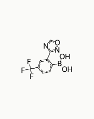 OB(O)c1ccc(C(F)(F)F)cc1-c1ncon1